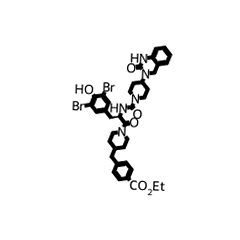 CCOC(=O)c1ccc(CC2CCN(C(=O)[C@@H](Cc3cc(Br)c(O)c(Br)c3)NC(=O)N3CCC(N4Cc5ccccc5NC4=O)CC3)CC2)cc1